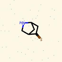 S=C1CC2C[C]1CN2